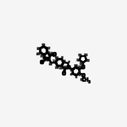 COc1ccc(N2Cc3ccc(Cn4c(=O)c5ccccc5[s+]4[O-])cc3C2=O)cc1OC1CCCC1